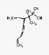 C=CC=C=C=C(C=C)C(C)(C)P(C#N)C#N